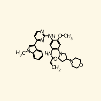 C=CC(=O)Nc1cc(Nc2nccc(-c3cn(C)c4ccccc34)n2)c(OC)cc1N1CCC(N2CCOCC2)C1